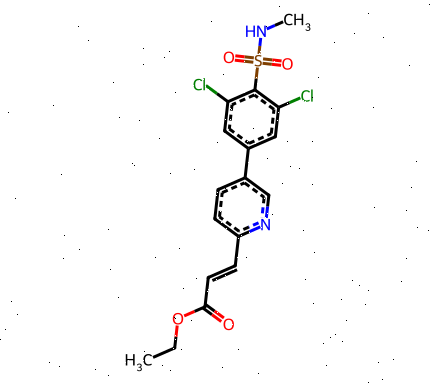 CCOC(=O)C=Cc1ccc(-c2cc(Cl)c(S(=O)(=O)NC)c(Cl)c2)cn1